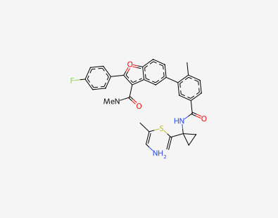 C=C(S/C(C)=C\N)C1(NC(=O)c2ccc(C)c(-c3ccc4oc(-c5ccc(F)cc5)c(C(=O)NC)c4c3)c2)CC1